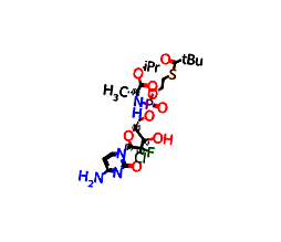 CC(C)OC(=O)[C@@H](C)NP(=O)(OCCSC(=O)C(C)(C)C)OC[C@H]1O[C@@H](n2ccc(N)nc2=O)[C@@](F)(Cl)[C@@H]1O